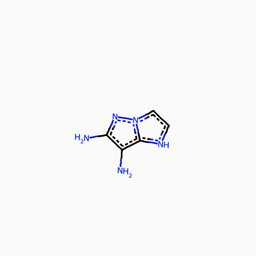 Nc1nn2cc[nH]c2c1N